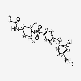 C=CC(=O)NC1CC(C)N(S(=O)(=O)c2ccc(Oc3ncc(C(F)(F)F)cc3Cl)cc2)C(C)C1